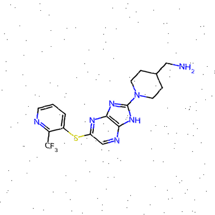 NCC1CCN(c2nc3nc(Sc4cccnc4C(F)(F)F)cnc3[nH]2)CC1